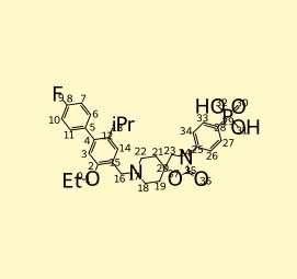 CCOc1cc(-c2ccc(F)cc2)c(C(C)C)cc1CN1CCC2(CC1)CN(c1ccc(P(=O)(O)O)cc1)C(=O)O2